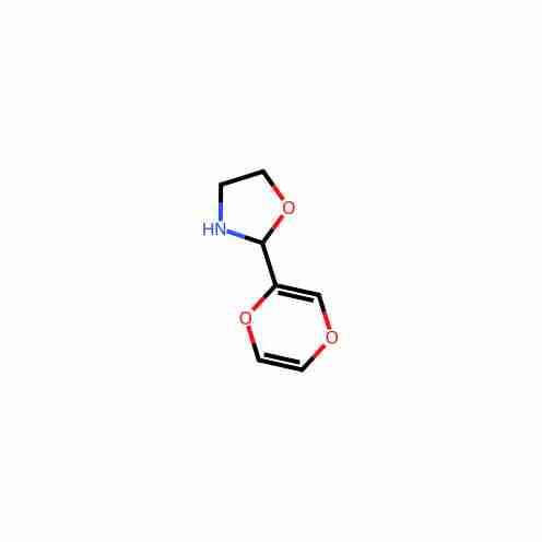 C1=COC(C2NCCO2)=CO1